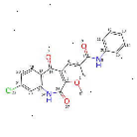 COc1c(C=C(C)C(=O)Nc2ccccc2)c(=O)c2ccc(Cl)cc2[nH]c1=O